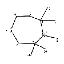 CN1C(C)(C)CCSCC1(C)C